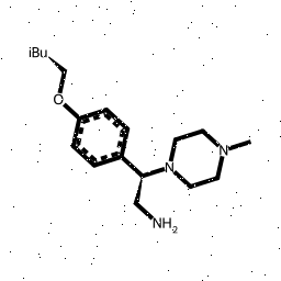 CC[C@H](C)COc1ccc([C@H](CN)N2CCN(C)CC2)cc1